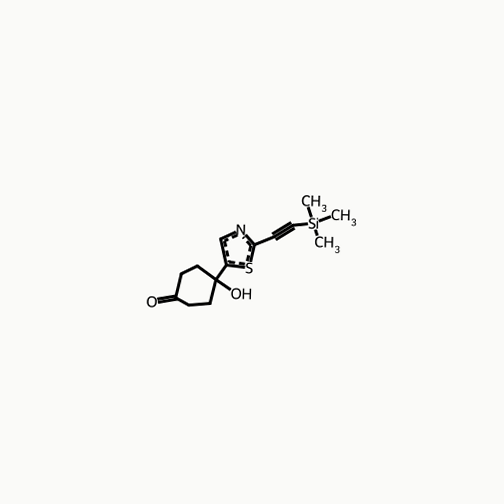 C[Si](C)(C)C#Cc1ncc(C2(O)CCC(=O)CC2)s1